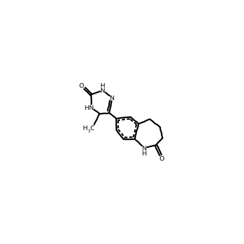 CC1NC(=O)NN=C1c1ccc2c(c1)CCCC(=O)N2